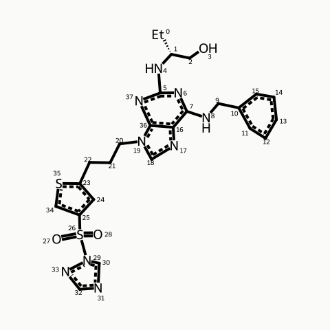 CC[C@H](CO)Nc1nc(NCc2ccccc2)c2ncn(CCCc3cc(S(=O)(=O)n4cncn4)cs3)c2n1